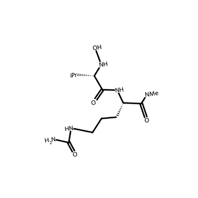 CNC(=O)[C@H](CCCNC(N)=O)NC(=O)[C@@H](NO)C(C)C